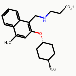 Cc1cc(O[C@H]2CC[C@H](C(C)(C)C)CC2)c(CNCCC(=O)O)c2ccccc12